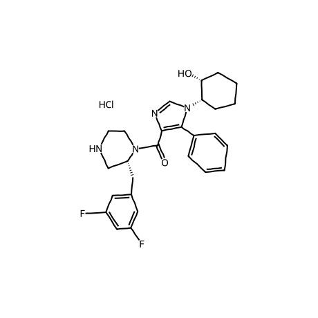 Cl.O=C(c1ncn([C@H]2CCCC[C@H]2O)c1-c1ccccc1)N1CCNC[C@H]1Cc1cc(F)cc(F)c1